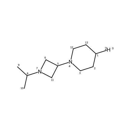 [2H]C1CCN(C2CN(C(C)C)C2)CC1